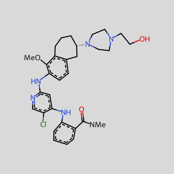 CNC(=O)c1ccccc1Nc1cc(Nc2ccc3c(c2OC)CCC[C@H](N2CCN(CCO)CC2)C3)ncc1Cl